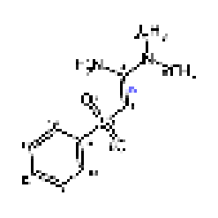 CN(C)/C(N)=C/S(=O)(=O)c1ccccc1